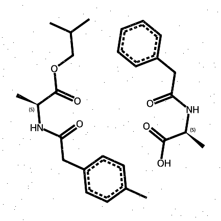 C[C@H](NC(=O)Cc1ccccc1)C(=O)O.Cc1ccc(CC(=O)N[C@@H](C)C(=O)OCC(C)C)cc1